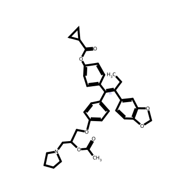 CC/C(=C(/c1ccc(OCC(CN2CCCC2)OC(C)=O)cc1)c1ccc(OC(=O)C2CC2)cc1)c1ccc2c(c1)OCO2